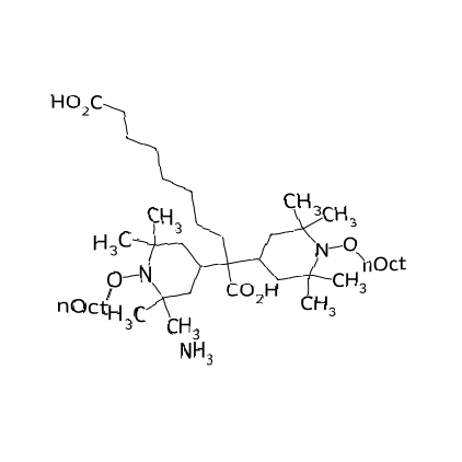 CCCCCCCCON1C(C)(C)CC(C(CCCCCCCC(=O)O)(C(=O)O)C2CC(C)(C)N(OCCCCCCCC)C(C)(C)C2)CC1(C)C.N